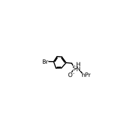 CCCN[S+]([O-])Cc1ccc(Br)cc1